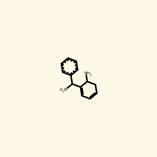 NC1CC=CC=C1C(N)c1ccccc1